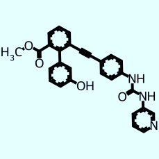 COC(=O)c1cccc(C#Cc2ccc(NC(=O)Nc3cccnc3)cc2)c1-c1cccc(O)c1